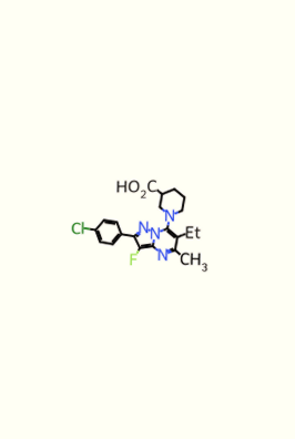 CCc1c(C)nc2c(F)c(-c3ccc(Cl)cc3)nn2c1N1CCCC(C(=O)O)C1